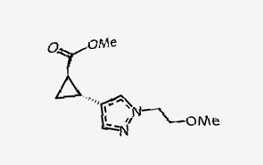 COCCn1cc([C@@H]2C[C@H]2C(=O)OC)cn1